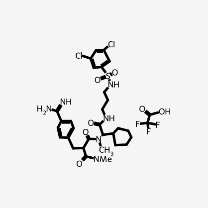 CNC(=O)C(Cc1ccc(C(=N)N)cc1)C(=O)N(C)[C@H](C(=O)NCCCNS(=O)(=O)c1cc(Cl)cc(Cl)c1)C1CCCCC1.O=C(O)C(F)(F)F